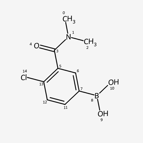 CN(C)C(=O)c1cc(B(O)O)ccc1Cl